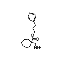 [NH]CC1(C(=O)OCCCc2ccccc2)CCCCCC1